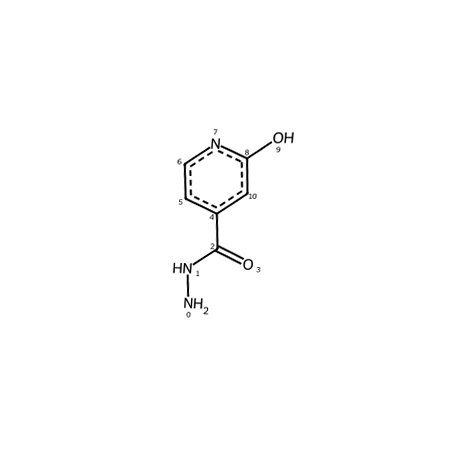 NNC(=O)c1ccnc(O)c1